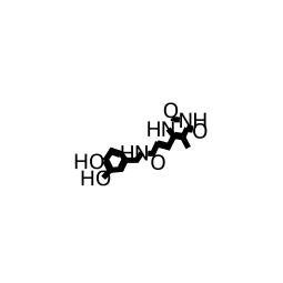 Cc1c(C=CC(=O)NCc2ccc(O)c(O)c2)[nH]c(=O)[nH]c1=O